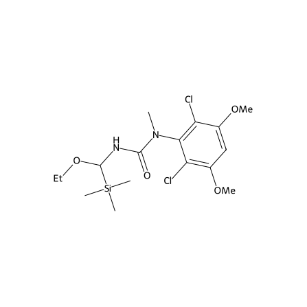 CCOC(NC(=O)N(C)c1c(Cl)c(OC)cc(OC)c1Cl)[Si](C)(C)C